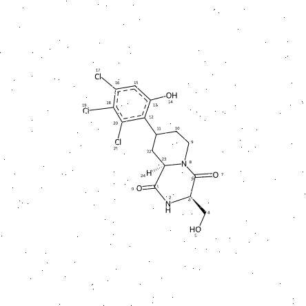 O=C1N[C@H](CO)C(=O)N2CCC(c3c(O)cc(Cl)c(Cl)c3Cl)C[C@H]12